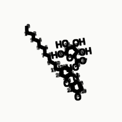 CCCCCCCCCCCCc1ccc2nc3ccc(=O)cc-3oc2c1.O=C(O)[C@H]1OC(O)[C@H](O)[C@@H](O)[C@@H]1O